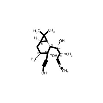 C=C=C[C@@H](C)[C@@H](O)[C@H]1C2[C@@H](C[C@@H](C)[C@]1(O)C#CO)C2(C)C